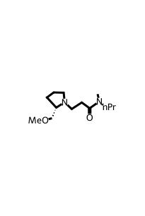 CCCN(C)C(=O)CCN1CCC[C@H]1COC